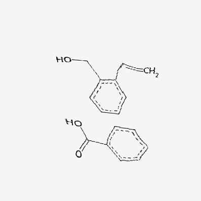 C=Cc1ccccc1CO.O=C(O)c1ccccc1